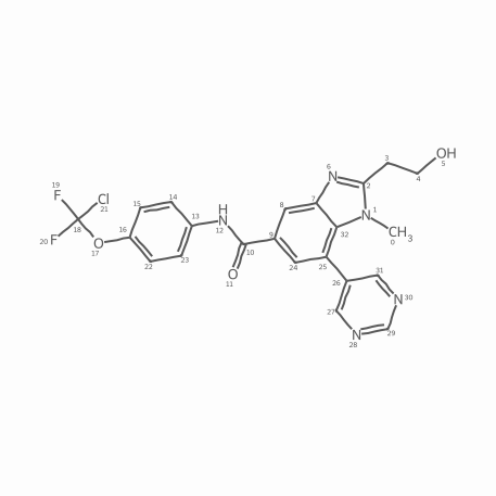 Cn1c(CCO)nc2cc(C(=O)Nc3ccc(OC(F)(F)Cl)cc3)cc(-c3cncnc3)c21